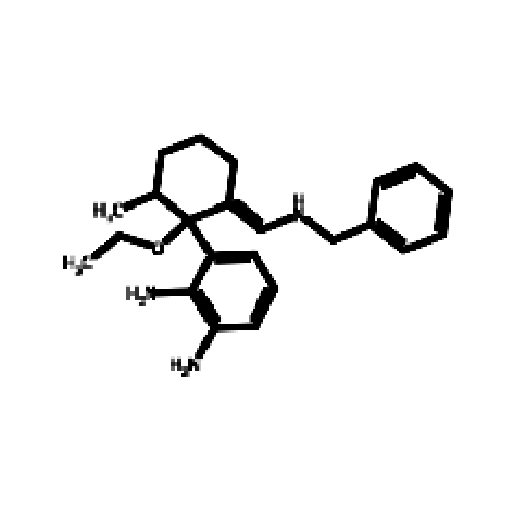 CCOC1(c2cccc(N)c2N)/C(=C/NCc2ccccc2)CCCC1C